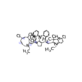 C=C1/C=C(Cl)\C=C/CN(CC)/C(=C/C=C2\CCC(/C=C/C3=[N+](CC)c4ccc(Cl)cc4C3(C)C)=C2N(c2ccccc2)c2ccccc2)C1(C)C